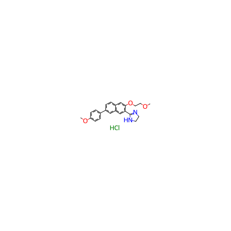 COCCOc1cc2ccc(-c3ccc(OC)cc3)cc2cc1C1=NCCN1.Cl